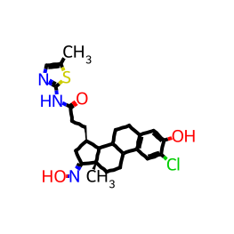 Cc1cnc(NC(=O)CC[C@@H]2CC(=NO)[C@@]3(C)CCC4c5cc(Cl)c(O)cc5CCC4C23)s1